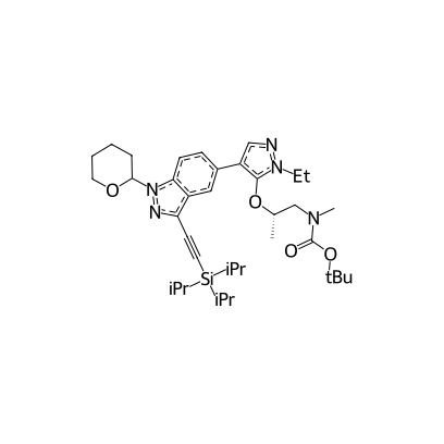 CCn1ncc(-c2ccc3c(c2)c(C#C[Si](C(C)C)(C(C)C)C(C)C)nn3C2CCCCO2)c1O[C@@H](C)CN(C)C(=O)OC(C)(C)C